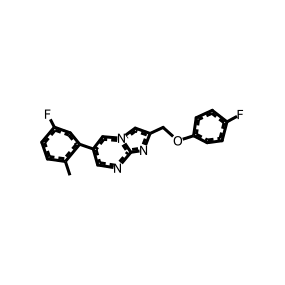 Cc1ccc(F)cc1-c1cnc2nc(COc3ccc(F)cc3)cn2c1